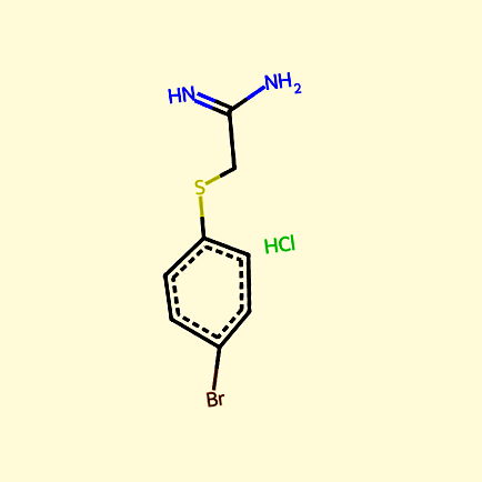 Cl.N=C(N)CSc1ccc(Br)cc1